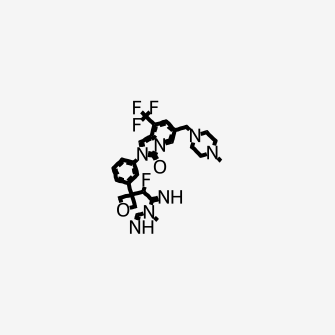 CN1CCN(Cc2cc(C(F)(F)F)c3cn(-c4cccc(C5(C(F)C(=N)N(C)C=N)COC5)c4)c(=O)n3c2)CC1